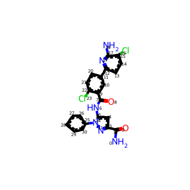 NC(=O)c1cc(NC(=O)c2cc(-c3ccc(Cl)c(N)n3)ccc2Cl)n(-c2ccccc2)n1